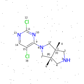 C[C@@]12CNC[C@]1(C)CN(c1nc(Cl)ncc1Cl)C2